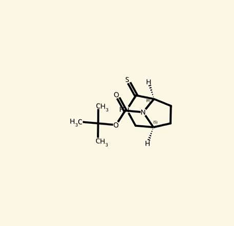 CC(C)(C)OC(=O)N1[C@H]2CC[C@@H]1C(=S)NC2